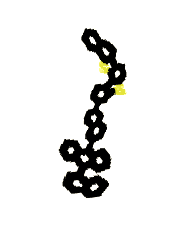 c1ccc2c(-c3c4ccccc4c(-c4ccc5cc(-c6ccc7c(c6)sc6ccc8c9ccc%10ccccc%10c9sc8c67)ccc5c4)c4ccccc34)cccc2c1